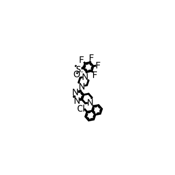 C[S+]([O-])c1c(F)c(F)c(F)c(F)c1N1CCN(c2ncnc3c2CCN(c2cccc4cccc(Cl)c24)C3)CC1